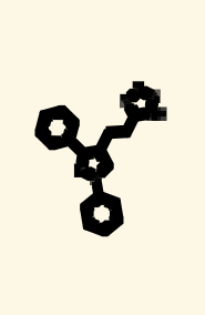 C(=Cc1cn(-c2ccccc2)nc1-c1ccccc1)c1nnn[nH]1